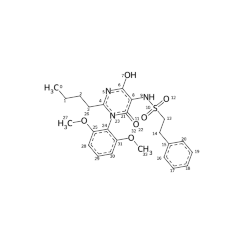 CCCCc1nc(O)c(NS(=O)(=O)CCc2ccccc2)c(=O)n1-c1c(OC)cccc1OC